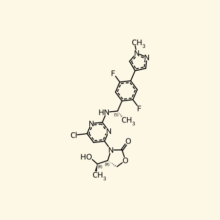 C[C@H](Nc1nc(Cl)cc(N2C(=O)OC[C@@H]2[C@@H](C)O)n1)c1cc(F)c(-c2cnn(C)c2)cc1F